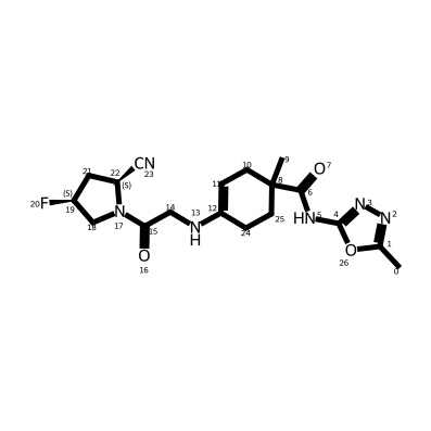 Cc1nnc(NC(=O)C2(C)CC=C(NCC(=O)N3C[C@@H](F)C[C@H]3C#N)CC2)o1